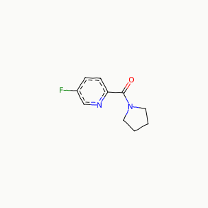 O=C(c1ccc(F)cn1)N1CCCC1